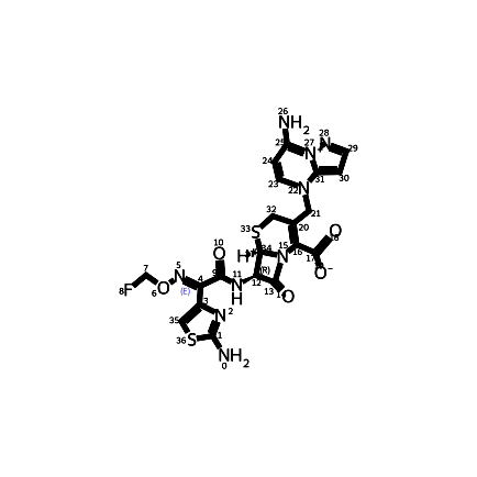 Nc1nc(/C(=N\OCF)C(=O)N[C@@H]2C(=O)N3C(C(=O)[O-])=C(Cn4ccc(N)[n+]5nccc4-5)CS[C@H]23)cs1